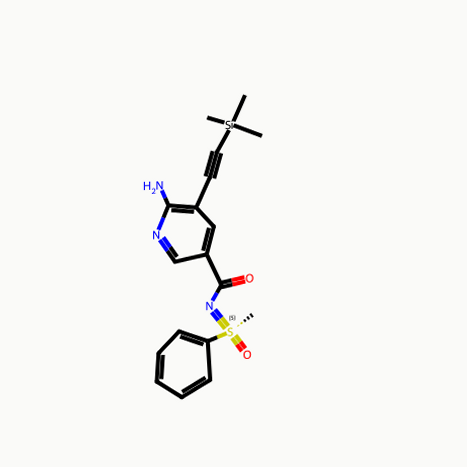 C[Si](C)(C)C#Cc1cc(C(=O)N=[S@@](C)(=O)c2ccccc2)cnc1N